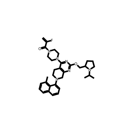 C=C(F)C(=O)N1CCN(c2nc(OCC3CCCN3C(C)C)nc3c2CCN(c2cccc4cccc(C)c24)C3)CC1